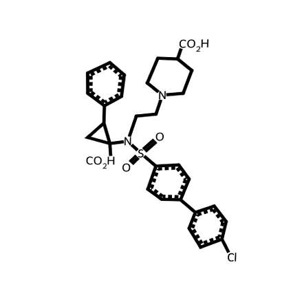 O=C(O)C1CCN(CCN(C2(C(=O)O)CC2c2ccccc2)S(=O)(=O)c2ccc(-c3ccc(Cl)cc3)cc2)CC1